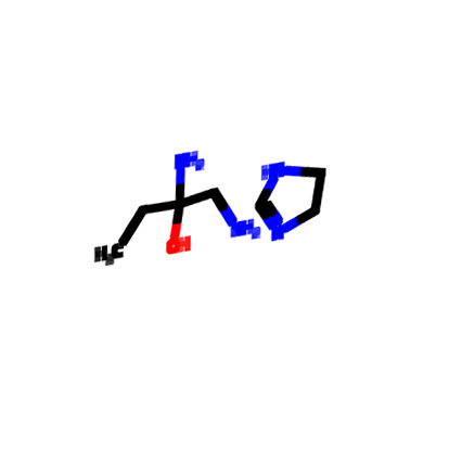 C1=NCCN1.CCC(N)(O)CN